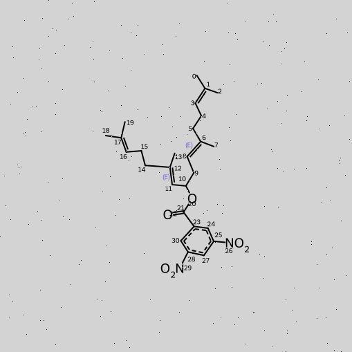 CC(C)=CCC/C(C)=C/CC(/C=C(\C)CCC=C(C)C)OC(=O)c1cc([N+](=O)[O-])cc([N+](=O)[O-])c1